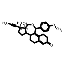 CC#C[C@]1(O)CCC2C3CCC4=CC(=O)CCC4=C3C(c3ccc(OC)cc3)OC[C@@]21C